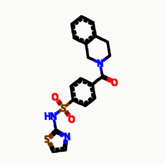 O=C(c1ccc(S(=O)(=O)Nc2nccs2)cc1)N1CCc2ccccc2C1